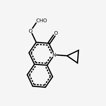 O=COc1cc2ccccc2n(C2CC2)c1=O